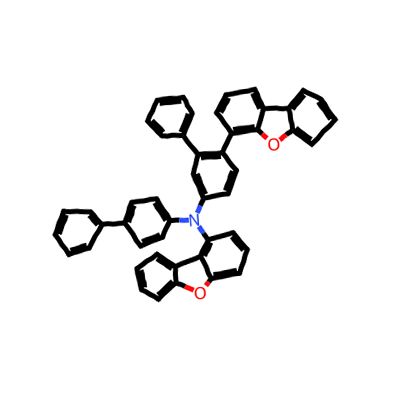 c1ccc(-c2ccc(N(c3ccc(-c4cccc5c4oc4ccccc45)c(-c4ccccc4)c3)c3cccc4oc5ccccc5c34)cc2)cc1